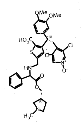 COc1ccc([C@H](Cc2c(Cl)c[n+]([O-])cc2Cl)c2cc(CNC(C(=O)OC[C@@H]3CCN(C)C3)c3ccccc3)sc2C(=O)O)cc1OC